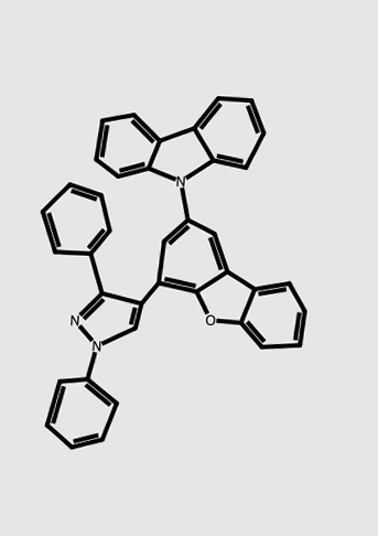 c1ccc(-c2nn(-c3ccccc3)cc2-c2cc(-n3c4ccccc4c4ccccc43)cc3c2oc2ccccc23)cc1